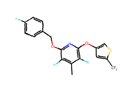 Cc1c(F)c(OCc2ccc(F)cc2)nc(Oc2csc(C(F)(F)F)c2)c1F